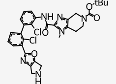 Cn1c(C(=O)Nc2cccc(-c3cccc(-c4nc5c(o4)CNC5)c3Cl)c2Cl)nc2c1CCN(C(=O)OC(C)(C)C)C2